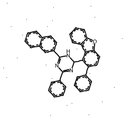 c1ccc(C2=NC(c3c(-c4ccccc4)ccc4oc5ccccc5c34)NC(c3ccc4ccccc4c3)=N2)cc1